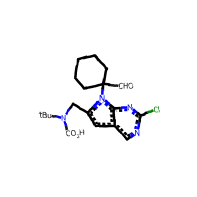 CC(C)(C)N(Cc1cc2cnc(Cl)nc2n1C1(C=O)CCCCC1)C(=O)O